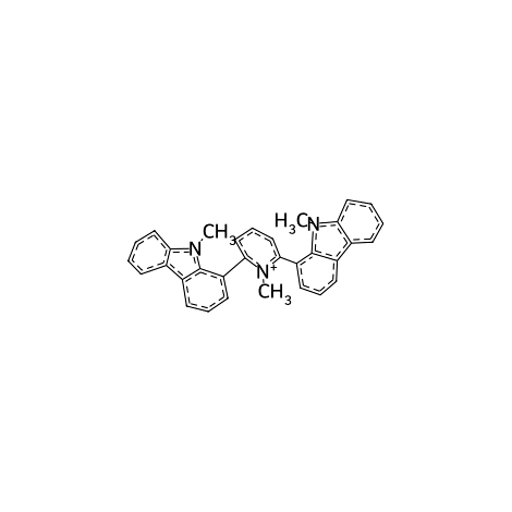 Cn1c2ccccc2c2cccc(-c3cccc(-c4cccc5c6ccccc6n(C)c45)[n+]3C)c21